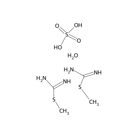 CSC(=N)N.CSC(=N)N.O.O=S(=O)(O)O